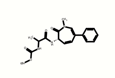 CC(NC(=O)OC(C)(C)C)C(=O)N[C@H]1C=CC(c2ccccc2)=CN(C)C1=O